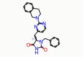 O=C1NC(=O)N(Cc2ccccc2)/C1=C\c1ccnc(N2CCc3ccccc3C2)n1